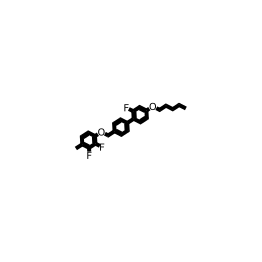 CCCCCOc1ccc(-c2ccc(COc3ccc(C)c(F)c3F)cc2)c(F)c1